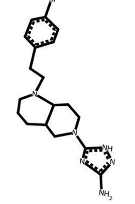 Nc1n[nH]c(N2CCC3C(CCCN3CCc3ccc(Br)cc3)C2)n1